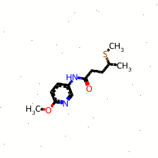 COc1ccc(NC(=O)CCC(C)SC)cn1